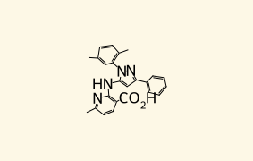 Cc1ccc(C)c(-n2nc(-c3ccccc3)cc2Nc2nc(C)ccc2C(=O)O)c1